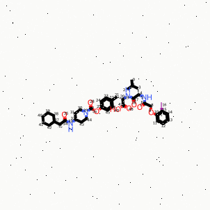 CC(C)C[C@H](NC(=O)COc1ccccc1I)C(=O)N[C@@H](Cc1ccc(OC(=O)N2CCC(NC(=O)CC3CCCCC3)CC2)cc1)C(=O)O